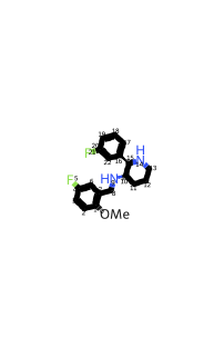 COc1ccc(F)cc1CN[C@@H]1CCCN[C@@H]1c1cccc(F)c1